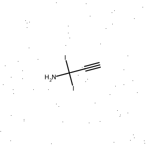 C#CC(N)(I)I